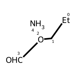 CCCOC=O.N